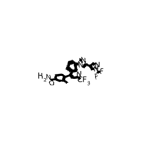 Cc1cc(C(N)=O)ccc1-c1cc(C(F)(F)F)nc2c(-n3cnc(-c4cnn(C(F)F)c4)c3)cccc12